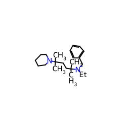 CCN(Cc1ccccc1)C(C)(C)CCC(C)(C)N1CCCCC1